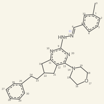 Cc1cccc(/C=N/Nc2nc3c(c(N4CCOCC4)n2)CC(CCc2ccccc2)C3)c1